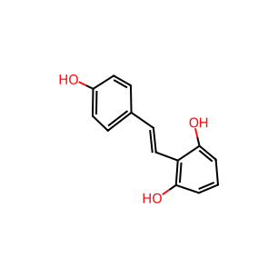 Oc1ccc(C=Cc2c(O)cccc2O)cc1